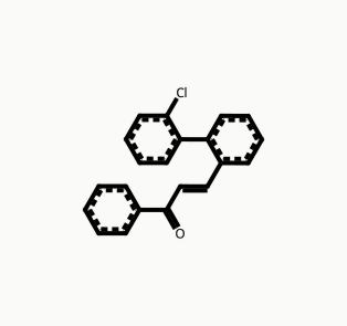 O=C(/C=C/c1ccccc1-c1ccccc1Cl)c1ccccc1